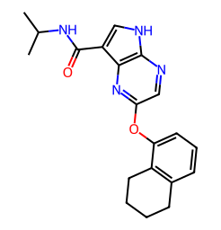 CC(C)NC(=O)c1c[nH]c2ncc(Oc3cccc4c3CCCC4)nc12